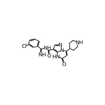 N=C(NC(=O)c1cnn2c(C3CCNCC3)cc(=O)[nH]c12)c1cccc(Cl)c1